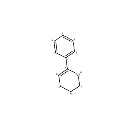 C1=C(c2ccccc2)OCCC1